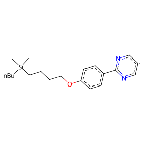 CCCC[Si](C)(C)CCCCOc1ccc(-c2nc[c]cn2)cc1